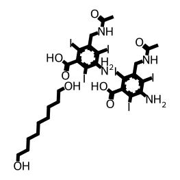 CC(=O)NCc1c(I)c(N)c(I)c(C(=O)O)c1I.CC(=O)NCc1c(I)c(N)c(I)c(C(=O)O)c1I.OCCCCCCCCCO